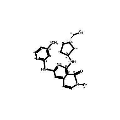 CCn1ccc2cc(Nc3cc(C)ccn3)nc(N[C@H]3CC[C@H](CO)C3)c2c1=O